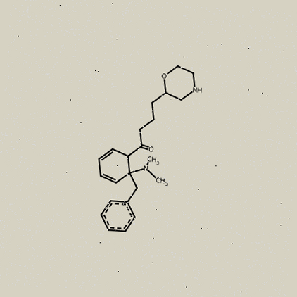 CN(C)C1(Cc2ccccc2)C=CC=CC1C(=O)CCCC1CNCCO1